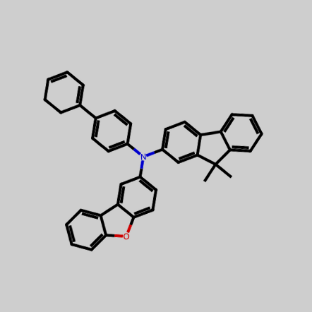 CC1(C)c2ccccc2-c2ccc(N(c3ccc(C4=CC=CCC4)cc3)c3ccc4oc5ccccc5c4c3)cc21